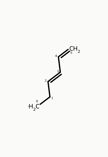 [CH2]C/[C]=C/C=C